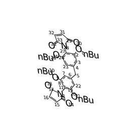 CCCCOc1cc(Cc2cc(OCCCC)c(N3C(=O)C=CC3=O)c(OCCCC)c2)cc(OCCCC)c1N1C(=O)C=CC1=O